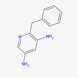 Nc1cnc(Cc2ccccc2)c(N)c1